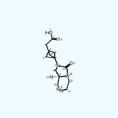 O=C(O)CC12CC(N3C[C@@H]4CNCCN4C3=O)(C1)C2